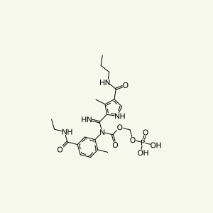 CCCNC(=O)c1c[nH]c(C(=N)N(C(=O)OCOP(=O)(O)O)c2cc(C(=O)NCC)ccc2C)c1C